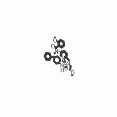 COCCN(Cc1ccccn1)S(=O)(=O)N[C@H]1CC[C@](CNC(=O)c2ccccc2OC)(c2ccccc2)CC1